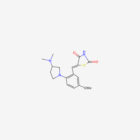 COc1ccc(N2CCC(N(C)C)C2)c(/C=C2\SC(=O)NC2=O)c1